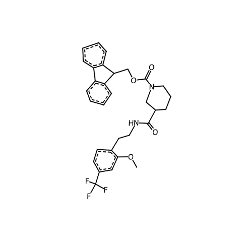 COc1cc(C(F)(F)F)ccc1CCNC(=O)C1CCCN(C(=O)OCC2c3ccccc3-c3ccccc32)C1